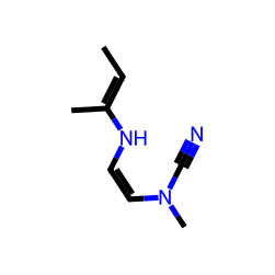 C/C=C(\C)N/C=C\N(C)C#N